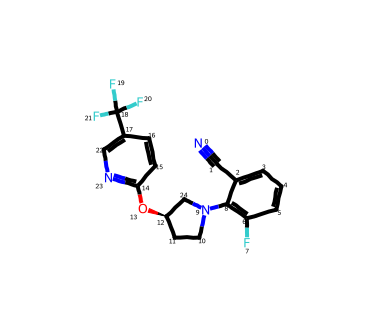 N#Cc1cccc(F)c1N1CC[C@@H](Oc2ccc(C(F)(F)F)cn2)C1